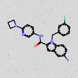 O=C(Nc1ccc(N2CCC2)nc1)c1cc2cc(I)ccc2n1Cc1cccc(F)c1